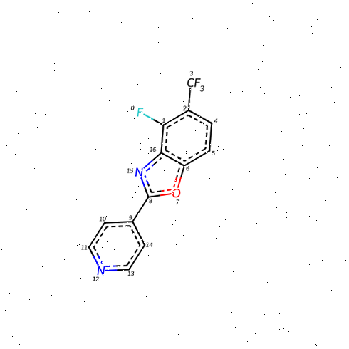 Fc1c(C(F)(F)F)ccc2oc(-c3ccncc3)nc12